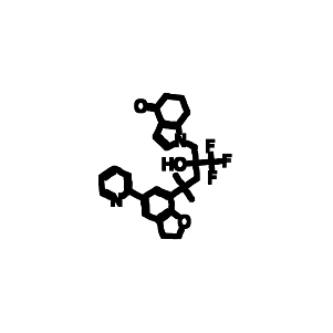 CC(C)(CC(O)(Cn1ccc2c1CCCC2=O)C(F)(F)F)c1cc(-c2ccccn2)cc2c1OCC2